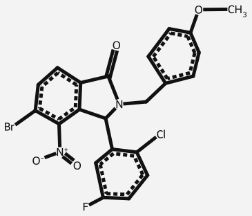 COc1ccc(CN2C(=O)c3ccc(Br)c([N+](=O)[O-])c3C2c2cc(F)ccc2Cl)cc1